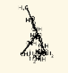 CCCCCCCCCCCC(=O)NCCOCCOCC(=O)NCCCCC(NC(=O)COCCOCCNC(=O)CCCCCCCCCCC)C(=O)NCCOCCOCC(=O)NCCCC[C@H](NC(=O)[C@H](CCCNC(=N)N)NC(=O)C(C)(C)N)C(N)=O